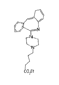 CCOC(=O)CCCCN1CCN(C2=NC3=CC=CCC3=Cc3ccccc32)CC1